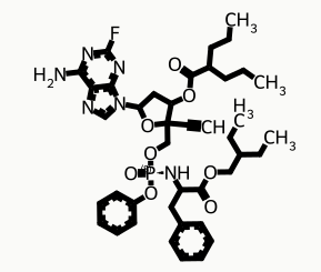 C#CC1(CO[P@@](=O)(NC(Cc2ccccc2)C(=O)OCC(CC)CC)Oc2ccccc2)OC(n2cnc3c(N)nc(F)nc32)CC1OC(=O)C(CCC)CCC